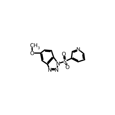 COc1ccc2c(c1)nnn2S(=O)(=O)c1cccnc1